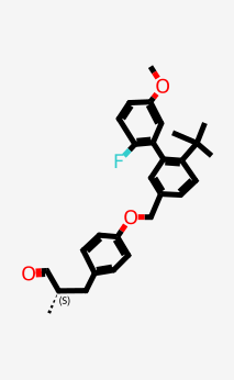 COc1ccc(F)c(-c2cc(COc3ccc(C[C@H](C)C=O)cc3)ccc2C(C)(C)C)c1